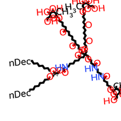 CCCCCCCCCCCCCCCCCCOC[C@H](COC(=O)NCCCCCC(=O)CC(COCCC(=O)CCCCCC(=O)CCCCOC1OC(CO)C(O)C(O)C1C)(COCCC(=O)CCCCCC(=O)CCCCOC1OC(CO)C(O)C(O)C1C)COCCC(=O)NCCCNC(=O)CCCCOC1OC(CO)C(O)C(O)C1C)OCCCCCCCCCCCCCCCCCC